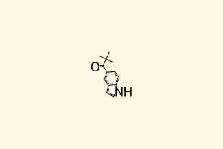 CC(C)(C)C(=O)c1ccc2[nH]ccc2c1